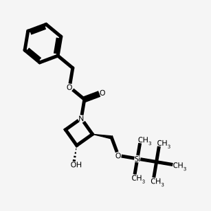 CC(C)(C)[Si](C)(C)OC[C@H]1[C@H](O)CN1C(=O)OCc1ccccc1